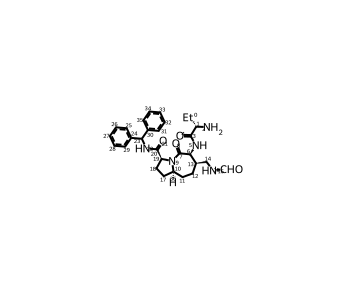 CC[C@H](N)C(=O)N[C@@H]1C(=O)N2[C@@H](CC[C@@H]1CNC=O)CC[C@H]2C(=O)NC(c1ccccc1)c1ccccc1